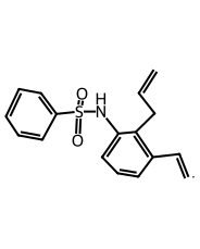 [CH]=Cc1cccc(NS(=O)(=O)c2ccccc2)c1CC=C